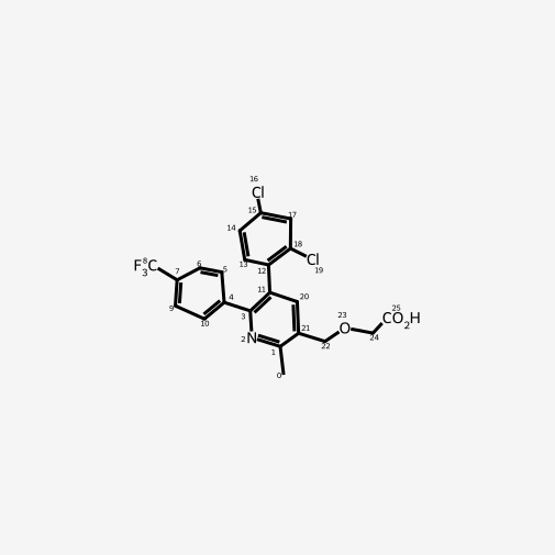 Cc1nc(-c2ccc(C(F)(F)F)cc2)c(-c2ccc(Cl)cc2Cl)cc1COCC(=O)O